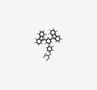 CCC(Cc1ccc(-c2cc(-n3c4ccccc4c4ccccc43)cc(-n3c4ccccc4c4ccccc43)c2)cc1)OC